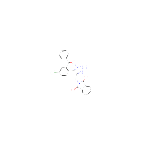 O=C(c1ccccc1)c1cc(Cl)ccc1-c1n[nH]nc1CN1C(=O)c2ccccc2C1=O